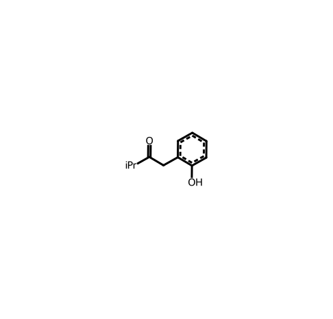 CC(C)C(=O)Cc1ccccc1O